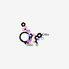 COC(=O)[C@@]12CC1/C=C\CCCCC[C@H](NC(=O)OC1CCCC1)C(=O)N1C[C@H](Oc3cc(C(=O)CBr)nc4c(Cl)c(OC)ccc34)C[C@H]1C(=O)N2